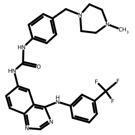 CN1CCN(Cc2ccc(NC(=O)Nc3ccc4ncnc(Nc5cccc(C(F)(F)F)c5)c4c3)cc2)CC1